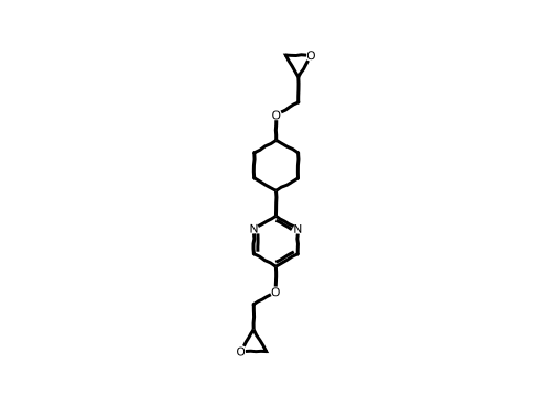 c1nc(C2CCC(OCC3CO3)CC2)ncc1OCC1CO1